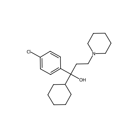 OC(CCN1CCCCC1)(c1ccc(Cl)cc1)C1CCCCC1